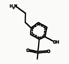 CS(=O)(=O)c1cc(CCN)ccc1O